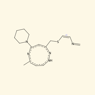 C=N/C=C\SCc1cc(N2CCCCC2)nc(C)cc[nH]n1